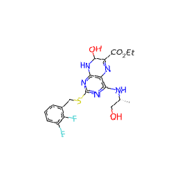 CCOC(=O)C1=Nc2c(nc(SCc3cccc(F)c3F)nc2N[C@H](C)CO)NC1O